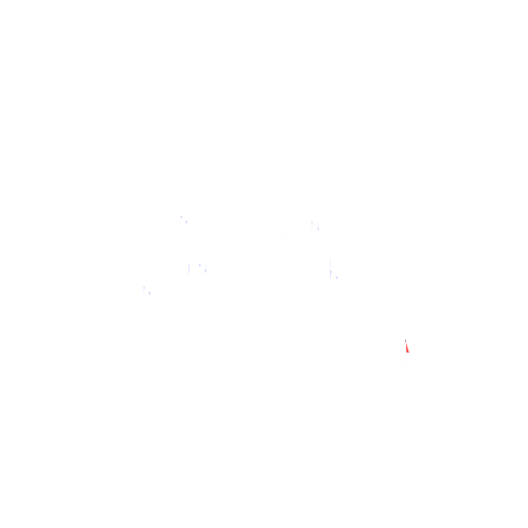 CC(C)c1cccc(C(=O)NC2=C/C(=C/N[C@H]3CC[C@@](O)(C4CC4)CC3)C(=N)C=C2c2ccccn2)[n+]1O